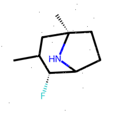 CC1C[C@@]2(C)CCC(N2)[C@@H]1F